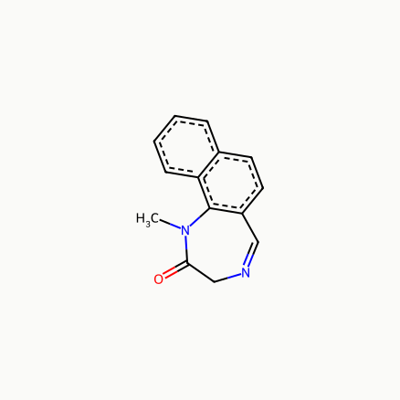 CN1C(=O)CN=Cc2ccc3ccccc3c21